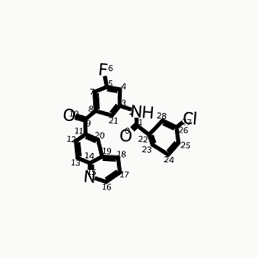 O=C(Nc1cc(F)cc(C(=O)c2ccc3ncccc3c2)c1)c1cccc(Cl)c1